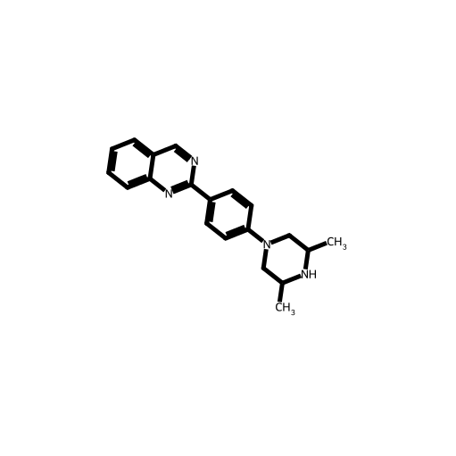 CC1CN(c2ccc(-c3ncc4ccccc4n3)cc2)CC(C)N1